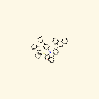 c1ccc(-c2ccc(-c3cc4ccccc4c4ccccc34)cc2N(c2ccc3c(c2)C(c2ccccc2)(c2ccccc2)c2ccccc2-3)c2cccc3c2sc2ccccc23)cc1